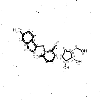 Cc1ccc2c(Cn3c(=O)ccn([C@@H]4O[C@H](CO)[C@H](O)[C@@H]4O)c3=O)noc2c1